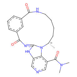 C[C@H]1CCCCNC(=O)c2cccc(c2)C(=O)/N=C2\Nc3cncc(C(=O)N(C)C)c3N21